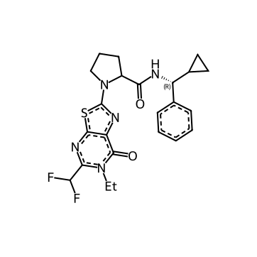 CCn1c(C(F)F)nc2sc(N3CCCC3C(=O)N[C@@H](c3ccccc3)C3CC3)nc2c1=O